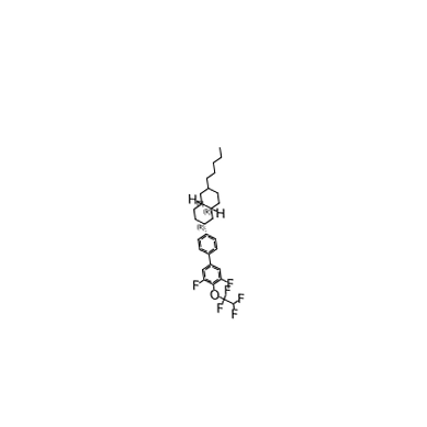 CCCCCC1CC[C@@H]2C[C@H](c3ccc(-c4cc(F)c(OC(F)(F)C(F)F)c(F)c4)cc3)CC[C@@H]2C1